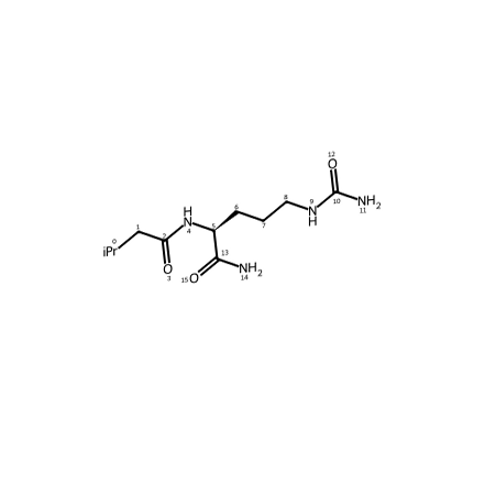 CC(C)CC(=O)N[C@@H](CCCNC(N)=O)C(N)=O